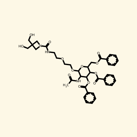 CC(=O)NC1C(OCCOCCNC(=O)N2CC(CO)(CO)C2)OC(COC(=O)c2ccccc2)C(OC(=O)c2ccccc2)C1OC(=O)c1ccccc1